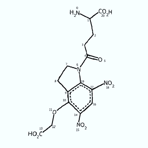 NC(CCC(=O)N1CCc2c(OCC(=O)O)c([N+](=O)[O-])cc([N+](=O)[O-])c21)C(=O)O